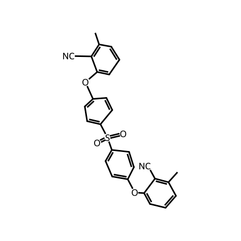 Cc1cccc(Oc2ccc(S(=O)(=O)c3ccc(Oc4cccc(C)c4C#N)cc3)cc2)c1C#N